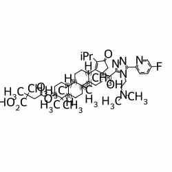 CC(C)C1=C2[C@H]3CC[C@@H]4[C@@]5(C)CC[C@H](OC(=O)CC(C)(C)C(=O)O)C(C)(C)[C@@H]5CC[C@@]4(C)[C@]3(C)CC[C@@]2([C@@H](O)c2nnc(-c3ccc(F)cn3)n2CCN(C)C)CC1=O